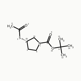 CC(=O)S[C@H]1CCN(C(=O)OC(C)(C)C)C1